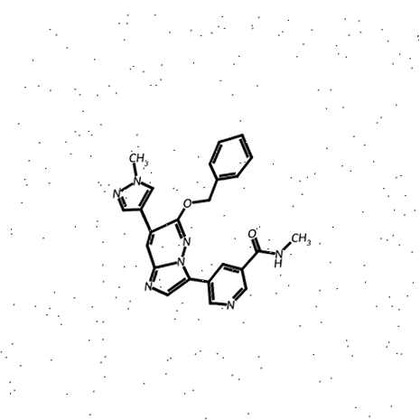 CNC(=O)c1cncc(-c2cnc3cc(-c4cnn(C)c4)c(OCc4ccccc4)nn23)c1